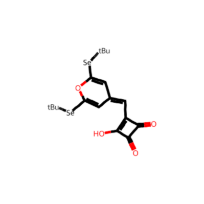 CC(C)(C)[Se]C1=CC(=Cc2c(O)c(=O)c2=O)C=C([Se]C(C)(C)C)O1